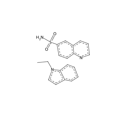 CCn1ccc2ccccc21.NS(=O)(=O)c1ccc2ncccc2c1